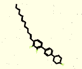 CCCCCCCCCCC=Cc1ccc(-c2ccc(C3CCC(F)CC3)cc2)c(F)c1F